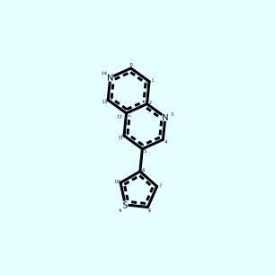 c1cc2ncc(-c3ccsc3)cc2cn1